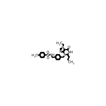 CCC=C1NC(=O)c2c(ncn2CC)N1Cc1ccc(CNS(=O)(=O)c2ccc(C)cc2)cc1